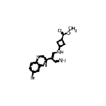 COC(=O)C1CC(N/C=C(\C=N)c2cnc3ccc(Br)cc3n2)C1